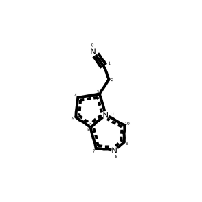 N#CCc1ccc2cnccn12